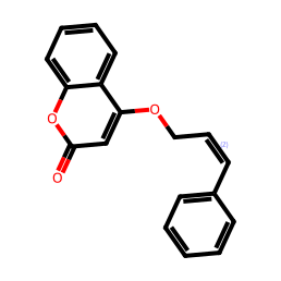 O=c1cc(OC/C=C\c2ccccc2)c2ccccc2o1